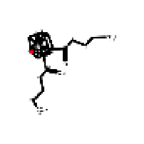 O=C(O)CCCC(=O)[C]12[CH]3[CH]4[CH]5[C]1(C(=O)CCCC(=O)O)[Fe]43521678[CH]2[CH]1[CH]6[CH]7[CH]28